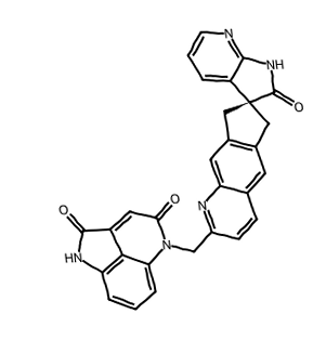 O=C1Nc2cccc3c2c1cc(=O)n3Cc1ccc2cc3c(cc2n1)C[C@]1(C3)C(=O)Nc2ncccc21